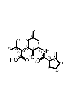 CC(C)C[C@H](NC(=O)[C@@H]1CCCN1)C(=O)N[C@H](C(=O)O)C(C)C